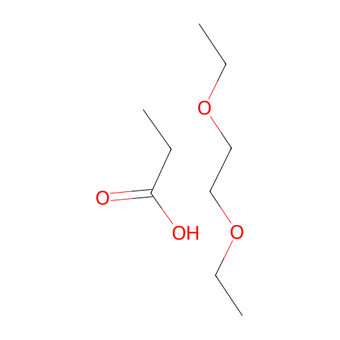 CCC(=O)O.CCOCCOCC